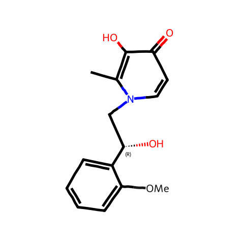 COc1ccccc1[C@@H](O)Cn1ccc(=O)c(O)c1C